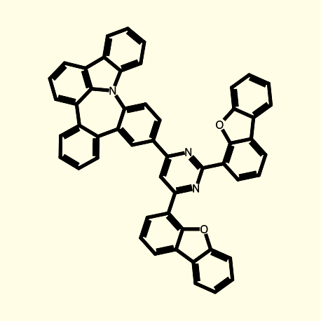 c1ccc2c(c1)-c1cc(-c3cc(-c4cccc5c4oc4ccccc45)nc(-c4cccc5c4oc4ccccc45)n3)ccc1-n1c3ccccc3c3cccc-2c31